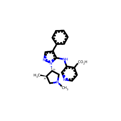 C[C@@H]1CN(C)C[C@H]1n1ncc(-c2ccccc2)c1Nc1cnccc1C(=O)O